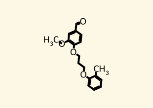 COc1cc(C=O)ccc1OCCCOc1ccccc1C